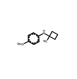 CSc1ccc(NC2(C#N)CCC2)cc1